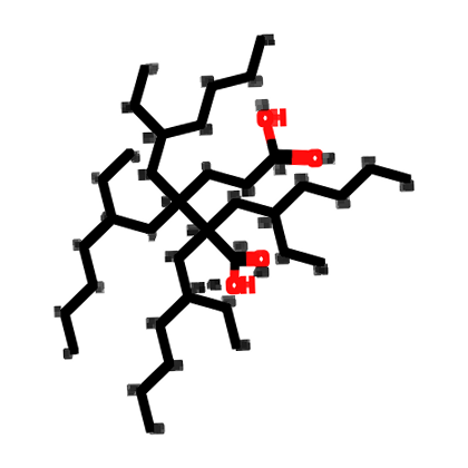 CCCCC(CC)CC(CCC(=O)O)(CC(CC)CCCC)C(CC(CC)CCCC)(CC(CC)CCCC)C(=O)O